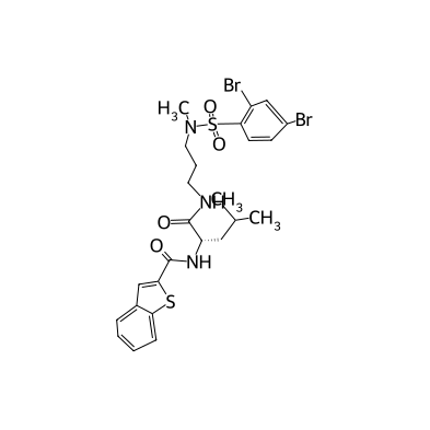 CC(C)C[C@H](NC(=O)c1cc2ccccc2s1)C(=O)NCCCN(C)S(=O)(=O)c1ccc(Br)cc1Br